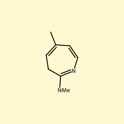 CNC1=NC=CC(C)=CC1